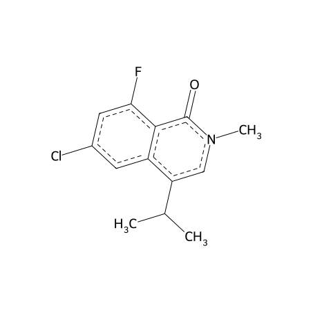 CC(C)c1cn(C)c(=O)c2c(F)cc(Cl)cc12